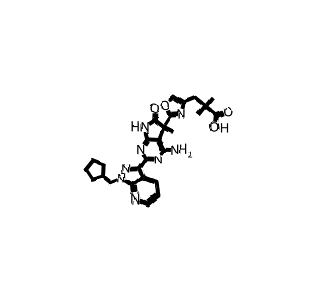 CC(C)(Cc1coc(C2(C)C(=O)Nc3nc(-c4nn(CC5CCCC5)c5ncccc45)nc(N)c32)n1)C(=O)O